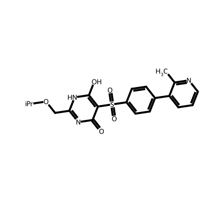 Cc1ncccc1-c1ccc(S(=O)(=O)c2c(O)[nH]c(COC(C)C)nc2=O)cc1